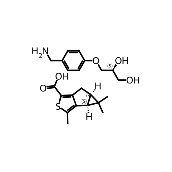 Cc1sc(C(=O)O)c2c1[C@H]1[C@@H](C2)C1(C)C.NCc1ccc(OC[C@@H](O)CO)cc1